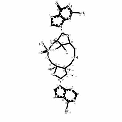 Nc1nc2c(ncn2[C@@H]2OC3CPC[C@H]4[C@H](F)[C@H](n5cnc6c(N)ncnc65)O[C@@H]4COP(O)(=S)O[C@@H]2C3(F)F)c(=O)[nH]1